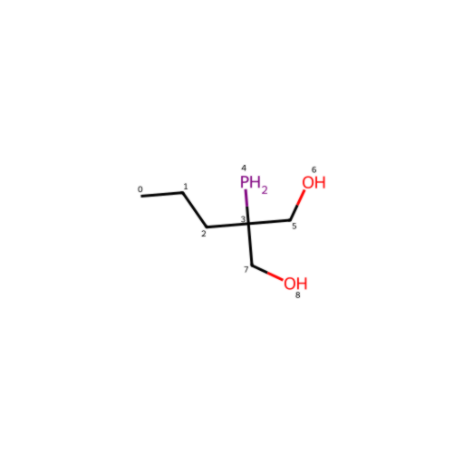 CCCC(P)(CO)CO